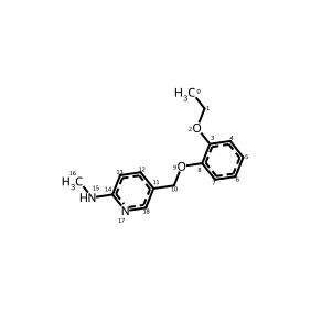 CCOc1ccccc1OCc1ccc(NC)nc1